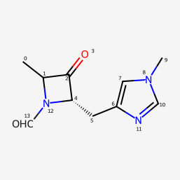 CC1C(=O)[C@H](Cc2cn(C)cn2)N1C=O